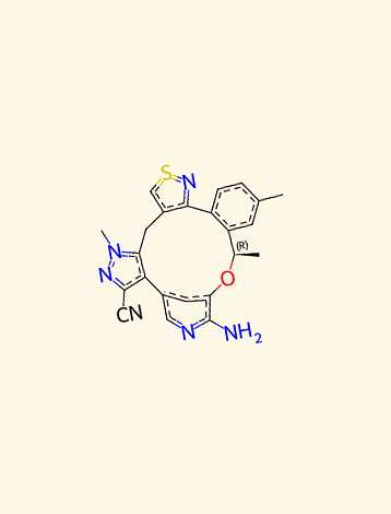 Cc1ccc2c(c1)[C@@H](C)Oc1cc(cnc1N)-c1c(C#N)nn(C)c1Cc1csnc1-2